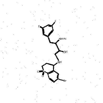 CC(=O)NC(Cc1cc(F)cc(F)c1)C(O)CNC1CCS(=O)(=O)c2ccc(Br)cc21